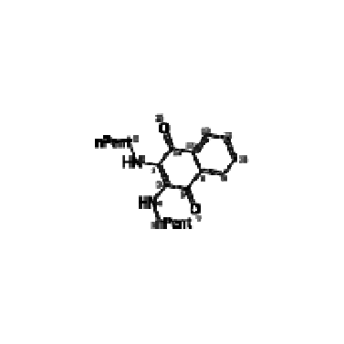 CCCCCNC1=C(NCCCCC)C(=O)c2ccccc2C1=O